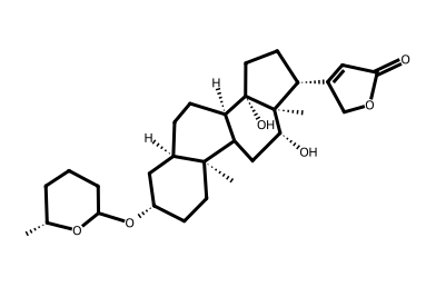 C[C@@H]1CCCC(O[C@H]2CC[C@]3(C)C4C[C@@H](O)[C@]5(C)[C@@H](C6=CC(=O)OC6)CC[C@]5(O)[C@@H]4CC[C@@H]3C2)O1